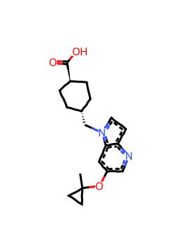 CC1(Oc2cnc3ccn(C[C@H]4CC[C@H](C(=O)O)CC4)c3c2)CC1